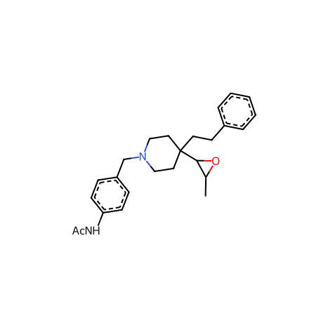 CC(=O)Nc1ccc(CN2CCC(CCc3ccccc3)(C3OC3C)CC2)cc1